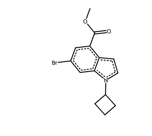 COC(=O)c1cc(Br)cc2c1ccn2C1CCC1